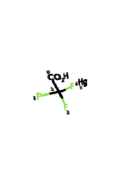 O=C(O)C(F)(F)F.[Hg]